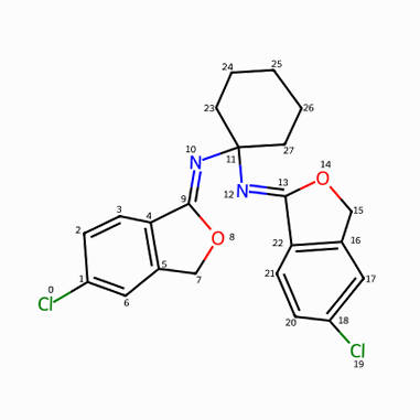 Clc1ccc2c(c1)COC2=NC1(N=C2OCc3cc(Cl)ccc32)CCCCC1